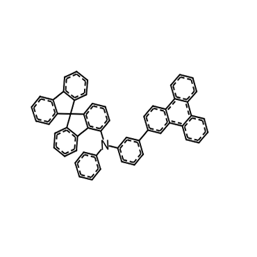 c1ccc(N(c2cccc(-c3ccc4c5ccccc5c5ccccc5c4c3)c2)c2cccc3c2-c2ccccc2C32c3ccccc3-c3ccccc32)cc1